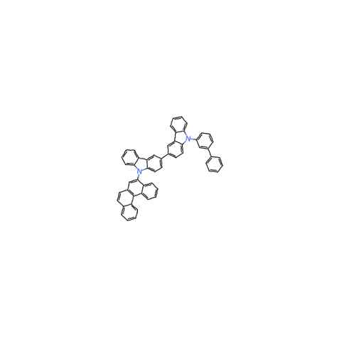 c1ccc(-c2cccc(-n3c4ccccc4c4cc(-c5ccc6c(c5)c5ccccc5n6-c5cc6ccc7ccccc7c6c6ccccc56)ccc43)c2)cc1